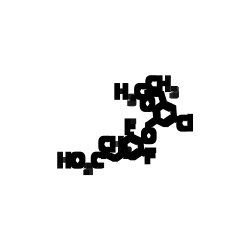 CC(Cc1cc(F)c(OCc2cc(Cl)cc3c2OC(C)(C)C3)c(F)c1)C(=O)O